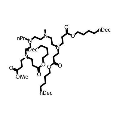 CCCCCCCCCCCCCCOC(=O)CCN(CCC(=O)OCCCCCCCCCCCCCC)CCN(C)CCN(CCC)CCN(CCC(=O)OC)CCC(=O)OCCCCCCCCCCCCCC